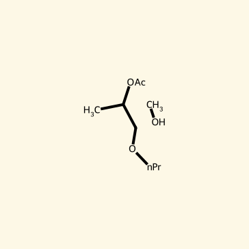 CCCOCC(C)OC(C)=O.CO